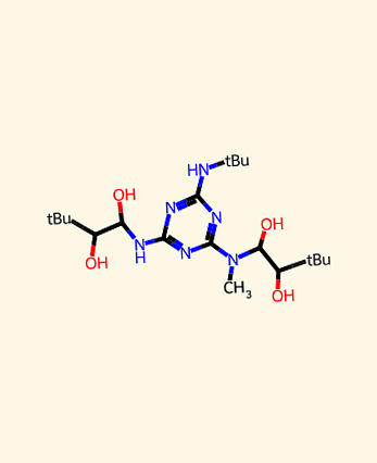 CN(c1nc(NC(O)C(O)C(C)(C)C)nc(NC(C)(C)C)n1)C(O)C(O)C(C)(C)C